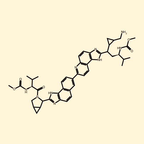 COC(=O)N[C@H](C(=O)N1CC2CC2C1c1nc2ccc3cc(-c4ccc5c(ccc6nc(C(C[C@@H](NC(=O)OC)C(C)C)C7CC7CN)[nH]c65)n4)ccc3c2[nH]1)C(C)C